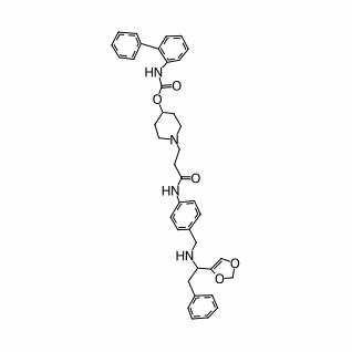 O=C(CCN1CCC(OC(=O)Nc2ccccc2-c2ccccc2)CC1)Nc1ccc(CNC(Cc2ccccc2)C2=COCO2)cc1